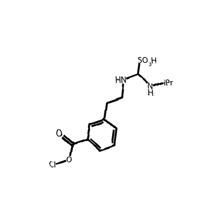 CC(C)NC(NCCc1cccc(C(=O)OCl)c1)S(=O)(=O)O